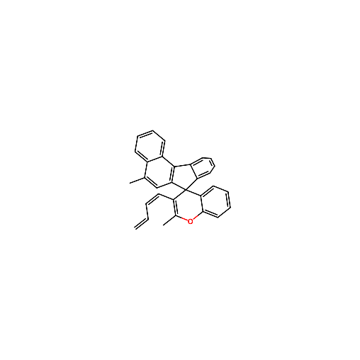 C=C/C=C\C1=C(C)Oc2ccccc2C12c1ccccc1-c1c2cc(C)c2ccccc12